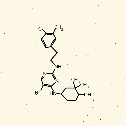 Cc1cc(CCNc2ncc(C#N)c(N[C@@H]3CC[C@H](O)C(C)(C)C3)n2)ccc1Cl